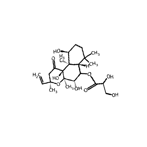 C=C[C@@]1(C)CC(=O)[C@]2(O)[C@@]3(C)[C@@H](O)CCC(C)(C)[C@@H]3C(OC(=O)C(O)CO)[C@H](O)[C@@]2(C)O1